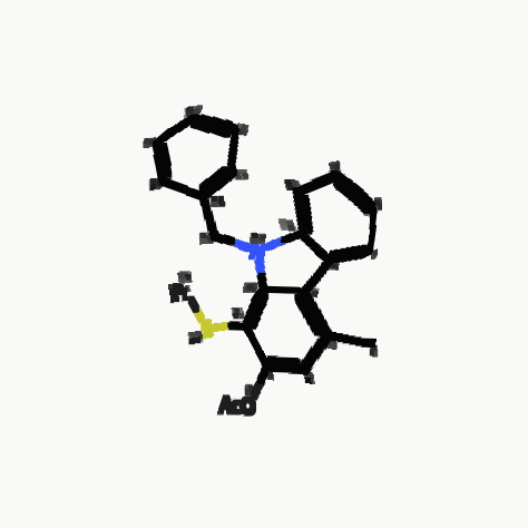 CC(=O)Oc1cc(C)c2c3ccccc3n(Cc3ccccc3)c2c1SC(C)C